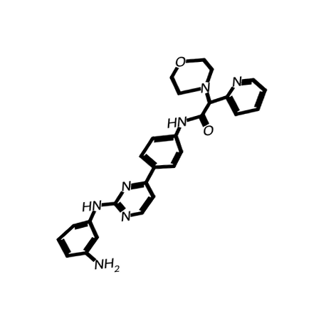 Nc1cccc(Nc2nccc(-c3ccc(NC(=O)C(c4ccccn4)N4CCOCC4)cc3)n2)c1